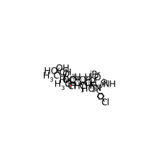 CC(C)C1=C2[C@H]3CC[C@@H]4[C@@]5(C)CC[C@H](OC(=O)CC(C)(C)C(O)O)C(C)(C)[C@@H]5CC[C@@]4(C)[C@]3(C)CC[C@@]2([C@@H](O)CN(Cc2ccc(Cl)cc2)C[C@H]2CCCN2)CC1=O